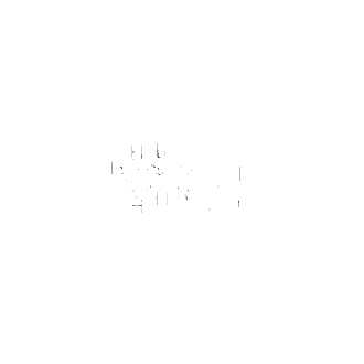 O=C(Nc1ccc(Cl)c(Cl)c1)C1=C(Br)[C@H]2O[C@@H]1[C@@H]1C[C@@H]12